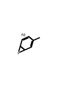 CC1=CC2SC2C=C1.[Ag]